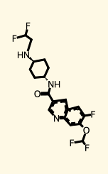 O=C(N[C@H]1CC[C@H](NCC(F)F)CC1)c1cnc2cc(OC(F)F)c(F)cc2c1